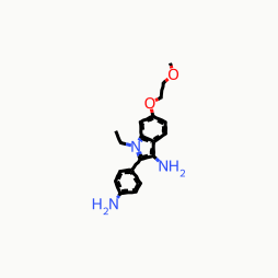 CCn1c(-c2ccc(N)cc2)c(N)c2ccc(OCCOC)cc21